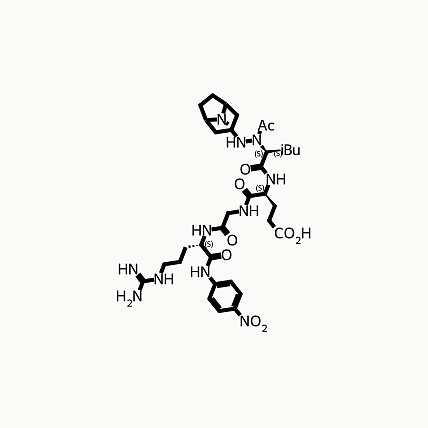 CC[C@H](C)[C@@H](C(=O)N[C@@H](CCC(=O)O)C(=O)NCC(=O)N[C@@H](CCCNC(=N)N)C(=O)Nc1ccc([N+](=O)[O-])cc1)N(NC1CC2CCC(C1)N2C)C(C)=O